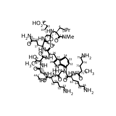 CNC(=O)[C@H](CC(C)C)NC(=O)[C@@H](CCC(=O)O)NC(=O)[C@H](CCC(N)=O)NC(=O)[C@@H](Cc1c[nH]c2ccccc12)NC(=O)[C@@H](NC(=O)[C@@H](CC(C)C)NC(=O)[C@H](CCCCN)NC(=O)CNC(=O)[C@H](CCCCN)NC(=O)[C@@H](C)CCCN)C(C)O